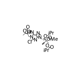 C#CC(COC(=O)C(C)C)(OC)[C@H](Cn1cnc2c(=N)n(Cc3oc(=O)oc3C)c(Cl)nc21)OC(=O)C(C)C